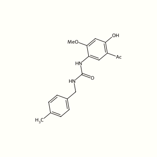 COc1cc(O)c(C(C)=O)cc1NC(=O)NCc1ccc(C)cc1